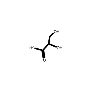 O=C(S)C(O)CO